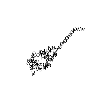 COCCOCCOCCOCCOCCOCCOCCOCCn1cc(COC(=O)N(C)Cc2cc(NC(=O)[C@H](CCCNC(N)=O)NC(=O)[C@@H](NC(=O)CCOCCN3C(=O)C=CC3=O)C(C)C)ccc2COC(=O)N2CCN(CCOc3ccc(-c4c(-c5ccc(F)cc5)sc5ncnc(O[C@H](Cc6ccccc6OCc6ccnc(-c7ccccc7OC)n6)C(=O)O)c45)c(C)c3Cl)CC2)nn1